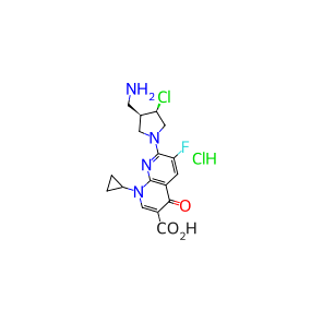 Cl.NC[C@@H]1CN(c2nc3c(cc2F)c(=O)c(C(=O)O)cn3C2CC2)C[C@@H]1Cl